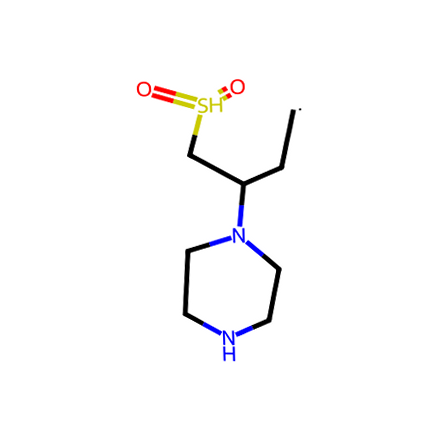 [CH2]CC(C[SH](=O)=O)N1CCNCC1